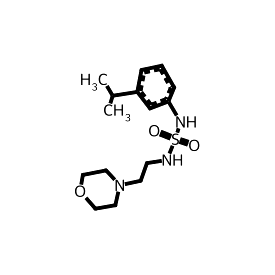 CC(C)c1cccc(NS(=O)(=O)NCCN2CCOCC2)c1